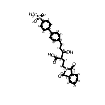 CS(=O)(=O)c1ccc(-c2ccc(CCC(O)C(CCN3C(=O)c4ccccc4C3=O)C(=O)O)cc2)cc1